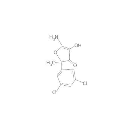 CC1(c2cc(Cl)cc(Cl)c2)OC(N)=C(O)C1=O